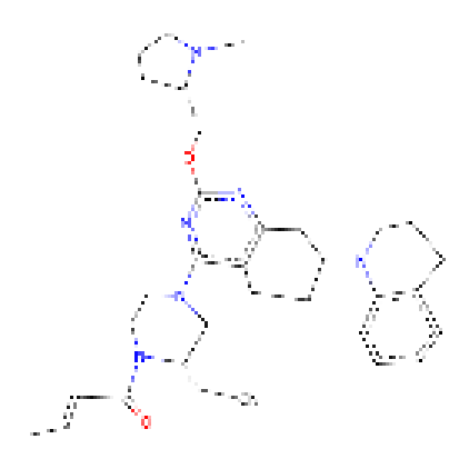 C/C=C/C(=O)N1CCN(c2nc(OC[C@@H]3CCCN3C)nc3c2CC[C@@H](N2CCCc4ccccc42)C3)C[C@@H]1CC#N